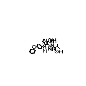 CC(C)C(CO)NC(=N)c1c(O)nsc1Nc1ccc(Oc2ccccc2)cc1